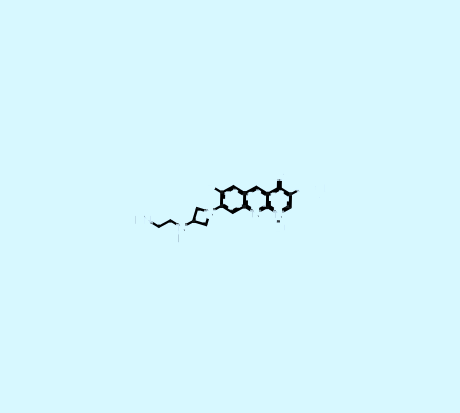 CCn1cc(C(=O)O)c(=O)c2cc3cc(F)c(N4CC(NCCN)C4)cc3nc21